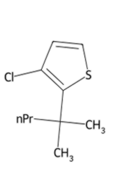 CCCC(C)(C)c1sccc1Cl